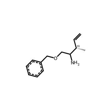 C=C[C@H](C)C(N)COCc1ccccc1